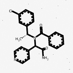 C[C@H](c1cccc(Cl)c1)N(C(=O)c1ccccc1)C(C(N)=O)c1ccncc1